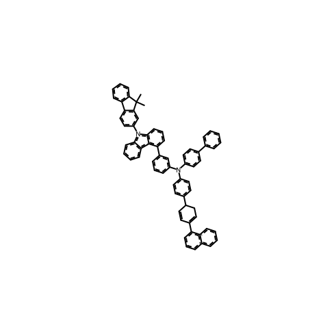 CC1(C)c2ccccc2-c2ccc(-n3c4ccccc4c4c(-c5cccc(N(c6ccc(-c7ccccc7)cc6)c6ccc(C7C=CC(c8cccc9ccccc89)=CC7)cc6)c5)cccc43)cc21